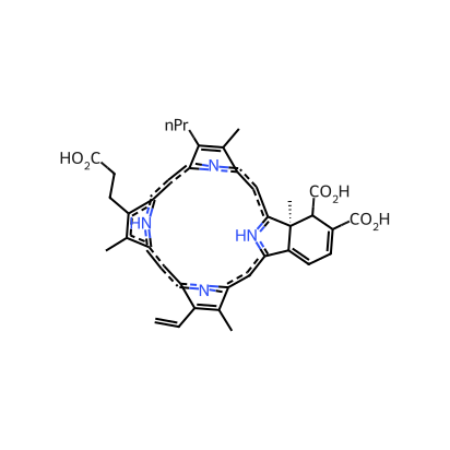 C=CC1=C(C)c2cc3[nH]c(cc4nc(cc5[nH]c(cc1n2)c(C)c5CCC(=O)O)C(CCC)=C4C)[C@]1(C)C3=CC=C(C(=O)O)C1C(=O)O